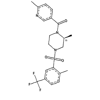 Cc1ccc(C(=O)N2CCN(S(=O)(=O)c3cc(C(F)(F)F)ccc3C)C[C@@H]2C)cn1